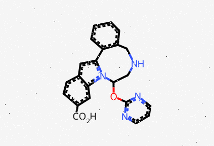 O=C(O)c1ccc2cc3n(c2c1)C(Oc1ncccn1)CNCc1ccccc1-3